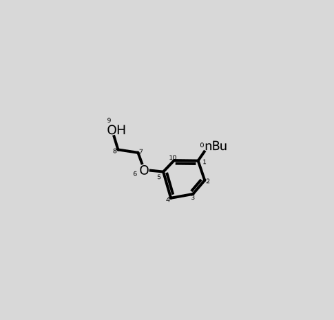 CCCCc1cccc(OCCO)c1